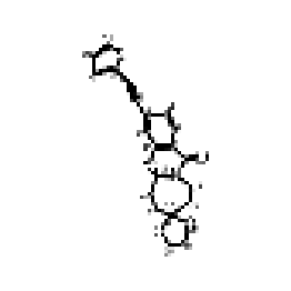 O=c1c2ccc(C#Cc3cccs3)cc2nc2n1CCC1(CC2)OCCO1